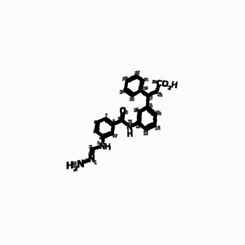 NN=CNc1cccc(C(=O)Nc2cccc(C(CC(=O)O)c3ccccc3)c2)c1